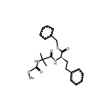 CC(C)(C)OC(=O)NC(C)(C)C(=O)N[C@H](CCc1ccccc1)C(=O)OCc1ccccc1